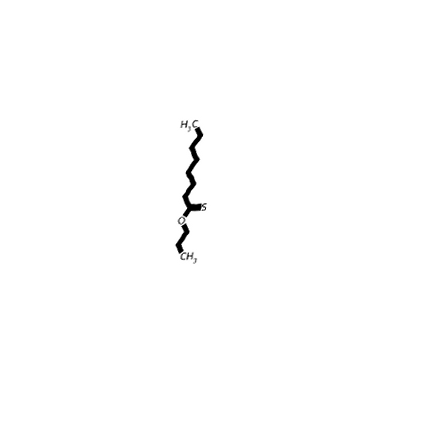 CCCCCCCC(=S)OCCC